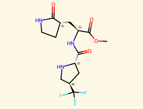 COC(=O)[C@H](C[C@@H]1CCNC1=O)NC(=O)[C@@H]1C[C@@H](C(F)(F)F)CN1